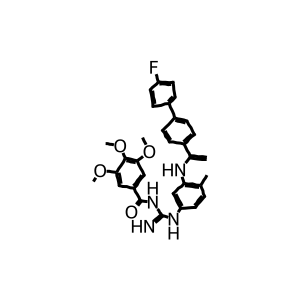 C=C(Nc1cc(NC(=N)NC(=O)c2cc(OC)c(OC)c(OC)c2)ccc1C)c1ccc(-c2ccc(F)cc2)cc1